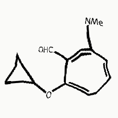 CNc1cccc(OC2CC2)c1C=O